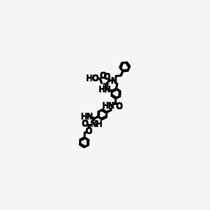 N=C(NC(=O)OCc1ccccc1)c1ccc(CNC(=O)c2ccc3c(c2)N[C@H](CC(=O)O)C(=O)N(CCc2ccccc2)C3)cc1